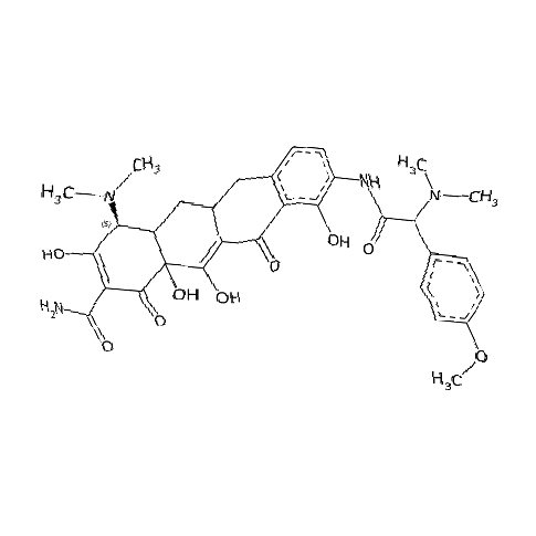 COc1ccc(C(C(=O)Nc2ccc3c(c2O)C(=O)C2=C(O)C4(O)C(=O)C(C(N)=O)=C(O)[C@@H](N(C)C)C4CC2C3)N(C)C)cc1